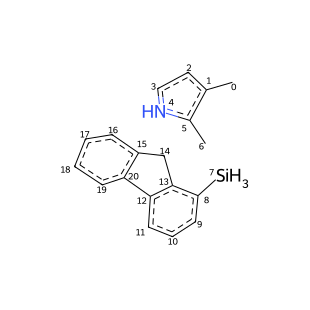 Cc1cc[nH]c1C.[SiH3]c1cccc2c1Cc1ccccc1-2